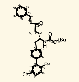 C[C@@H](C[C@@H](Cc1ccc(-c2cc(Cl)ccc2F)cc1)NC(=O)OC(C)(C)C)C(=O)OCc1ccccc1